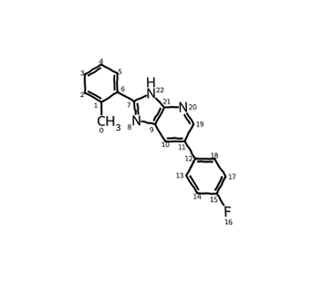 Cc1ccccc1-c1nc2cc(-c3ccc(F)cc3)cnc2[nH]1